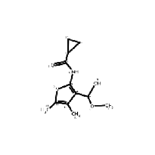 COC(O)c1c(NC(=O)C2CC2)sc(C)c1C